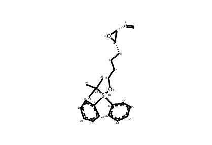 C=C[C@H]1O[C@H]1CCCCO[Si](c1ccccc1)(c1ccccc1)C(C)(C)C